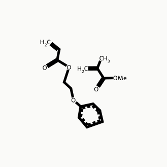 C=C(C)C(=O)OC.C=CC(=O)OCCOc1ccccc1